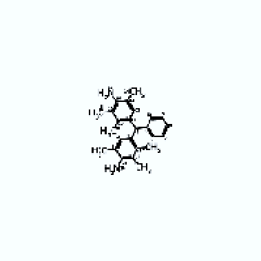 Cc1cc(C(c2ccccc2)c2cc(C)c(N)c(C)c2C)c(C)c(C)c1N